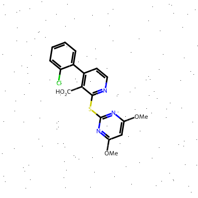 COc1cc(OC)nc(Sc2nccc(-c3ccccc3Cl)c2C(=O)O)n1